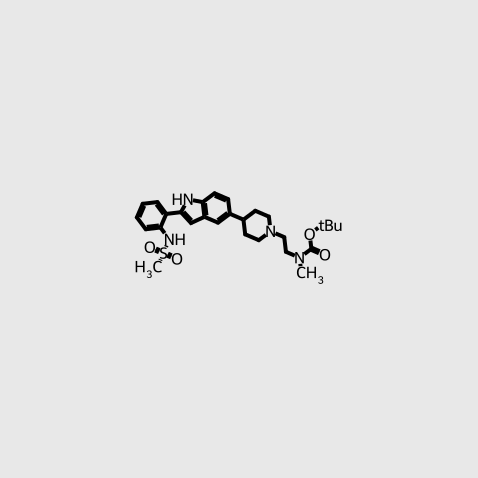 CN(CCN1CCC(c2ccc3[nH]c(-c4ccccc4NS(C)(=O)=O)cc3c2)CC1)C(=O)OC(C)(C)C